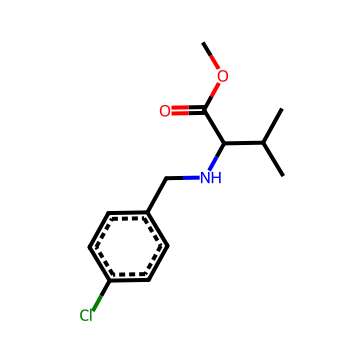 COC(=O)C(NCc1ccc(Cl)cc1)C(C)C